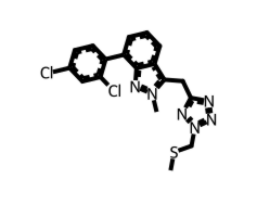 CSCn1nnc(Cc2c3cccc(-c4ccc(Cl)cc4Cl)c3nn2C)n1